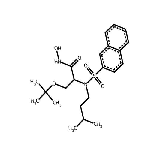 CC(C)CCN(C(COC(C)(C)C)C(=O)NO)S(=O)(=O)c1ccc2ccccc2c1